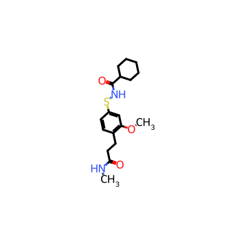 CNC(=O)CCc1ccc(SNC(=O)C2CCCCC2)cc1OC